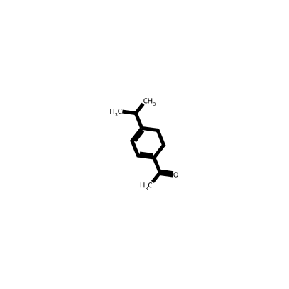 CC(=O)C1=CC=C(C(C)C)CC1